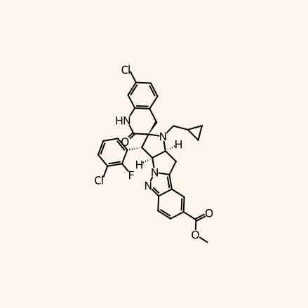 COC(=O)c1ccc2nn3c(c2c1)C[C@H]1[C@@H]3[C@H](c2cccc(Cl)c2F)[C@@]2(Cc3ccc(Cl)cc3NC2=O)N1CC1CC1